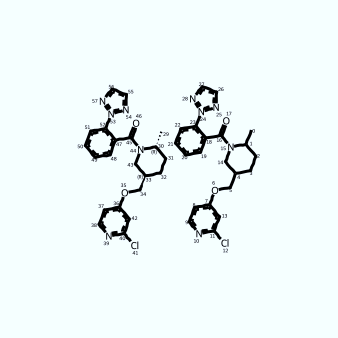 CC1CCC(COc2ccnc(Cl)c2)CN1C(=O)c1ccccc1-n1nccn1.C[C@@H]1CC[C@@H](COc2ccnc(Cl)c2)CN1C(=O)c1ccccc1-n1nccn1